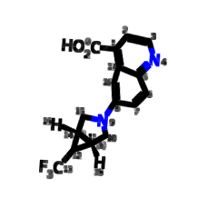 O=C(O)c1ccnc2ccc(N3C[C@@H]4C(C(F)(F)F)[C@@H]4C3)cc12